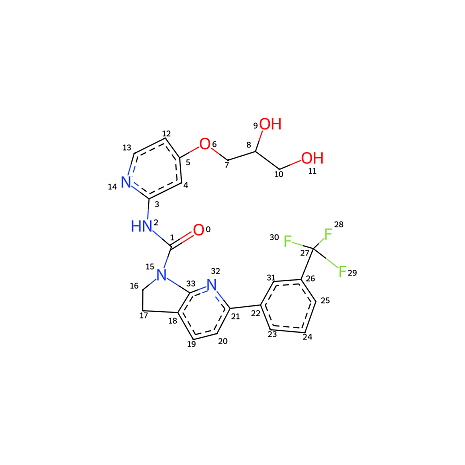 O=C(Nc1cc(OCC(O)CO)ccn1)N1CCc2ccc(-c3cccc(C(F)(F)F)c3)nc21